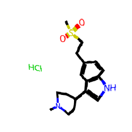 CN1CCC(c2c[nH]c3ccc(CCS(C)(=O)=O)cc23)CC1.Cl